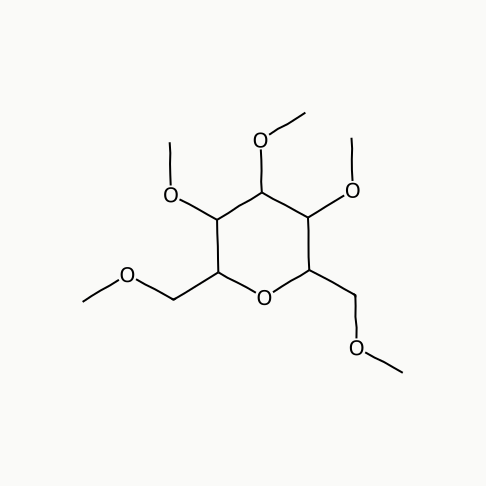 COCC1OC(COC)C(OC)C(OC)C1OC